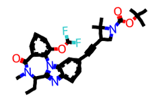 CCC1c2nc3ccc(C#CC4CN(C(=O)OC(C)(C)C)C4(C)C)cc3n2-c2c(OC(F)F)cccc2C(=O)N1C